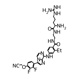 CCc1cc(Nc2nccn3c(-c4ccc(OCC#N)c(F)c4F)cnc23)ccc1C(=O)NCCNC(=O)C(N)CCCNC(=N)N